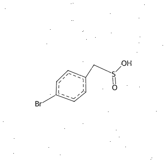 O=S(O)Cc1ccc(Br)cc1